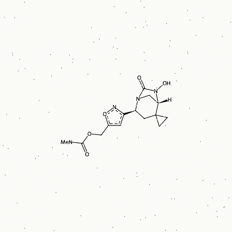 CNC(=O)OCc1cc([C@@H]2CC3(CC3)[C@@H]3CN2C(=O)N3O)no1